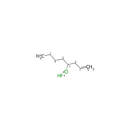 C=CCC(Cl)CCCC.F